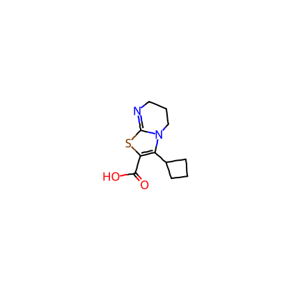 O=C(O)C1=C(C2CCC2)N2CCCN=C2S1